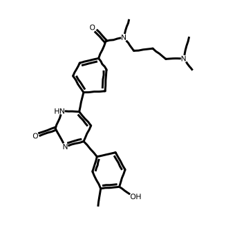 Cc1cc(-c2cc(-c3ccc(C(=O)N(C)CCCN(C)C)cc3)[nH]c(=O)n2)ccc1O